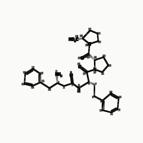 N[C@H](CC(=O)N[C@@H](CCc1ccccc1)C(=O)N1CCC[C@H]1C(=O)N1CCC[C@H]1C(=O)O)Cc1ccccc1